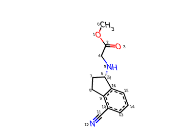 COC(=O)CN[C@H]1CCc2c(C#N)cccc21